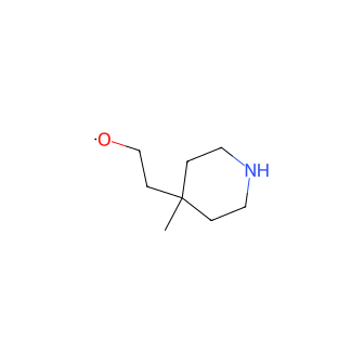 CC1(CC[O])CCNCC1